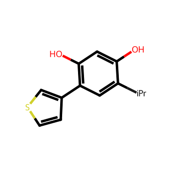 CC(C)c1cc(-c2ccsc2)c(O)cc1O